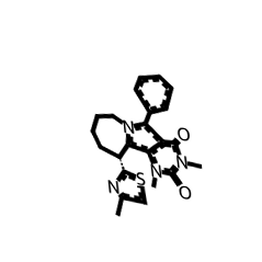 Cc1csc([C@@H]2CCCCn3c(-c4ccccc4)c4c(=O)n(C)c(=O)n(C)c4c32)n1